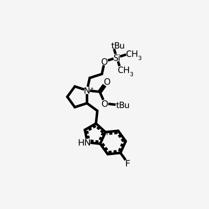 CC(C)(C)OC(=O)[N+]1(CCO[Si](C)(C)C(C)(C)C)CCCC1Cc1c[nH]c2cc(F)ccc12